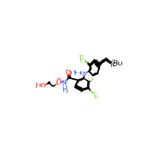 CCC(C)Cc1ccc(Nc2c(C(=O)NOCCO)ccc(F)c2F)c(F)c1